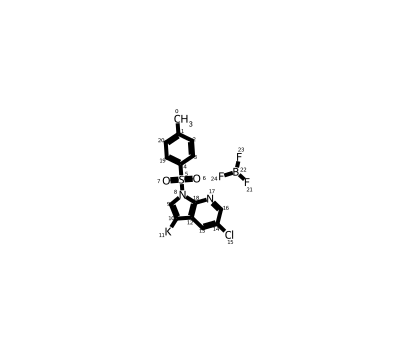 Cc1ccc(S(=O)(=O)n2c[c]([K])c3cc(Cl)cnc32)cc1.FB(F)F